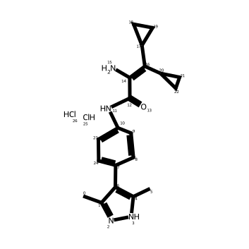 Cc1n[nH]c(C)c1-c1ccc(NC(=O)C(N)=C(C2CC2)C2CC2)cc1.Cl.Cl